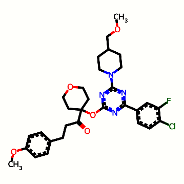 COCC1CCN(c2nc(OC3(C(=O)CCc4ccc(OC)cc4)CCOCC3)nc(-c3ccc(Cl)c(F)c3)n2)CC1